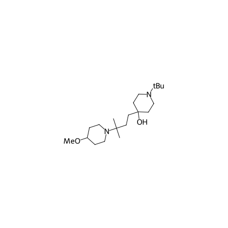 COC1CCN(C(C)(C)CCC2(O)CCN(C(C)(C)C)CC2)CC1